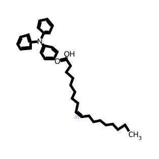 CCCCCCCC/C=C\CCCCCCCC(=O)O.c1ccc(N(c2ccccc2)c2ccccc2)cc1